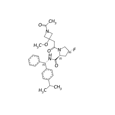 COC1(CC(=O)N2C[C@H](F)C[C@H]2C(=O)N[C@@H](c2ccccc2)c2ccc(C(C)C)cc2)CN(C(C)=O)C1